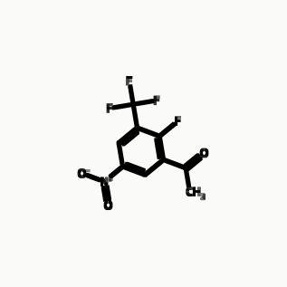 CC(=O)c1cc([N+](=O)[O-])cc(C(F)(F)F)c1F